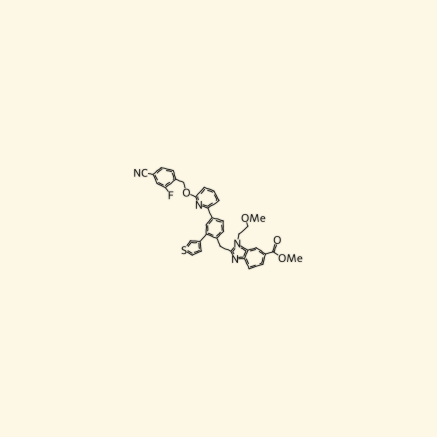 COCCn1c(Cc2ccc(-c3cccc(OCc4ccc(C#N)cc4F)n3)cc2-c2ccsc2)nc2ccc(C(=O)OC)cc21